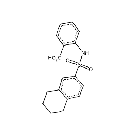 O=C(O)c1ccccc1NS(=O)(=O)c1ccc2c(c1)CCCC2